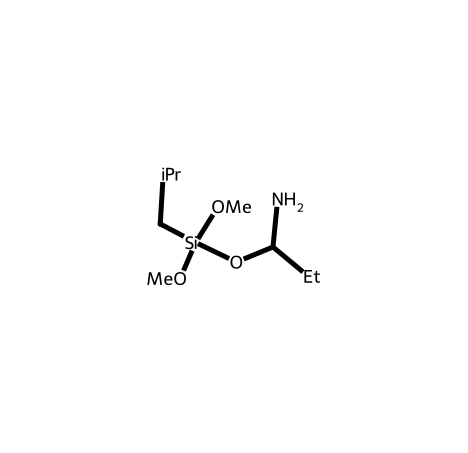 CCC(N)O[Si](CC(C)C)(OC)OC